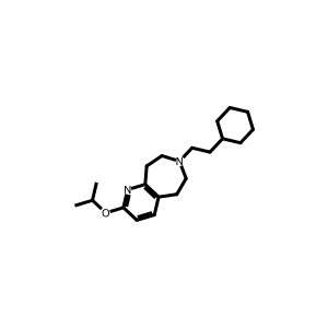 CC(C)Oc1ccc2c(n1)CCN(CCC1CCCCC1)CC2